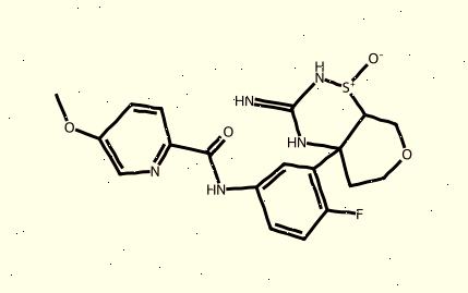 COc1ccc(C(=O)Nc2ccc(F)c(C34CCOCC3[S+]([O-])NC(=N)N4)c2)nc1